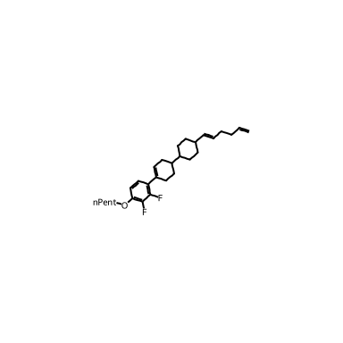 C=CCC/C=C/C1CCC(C2CC=C(c3ccc(OCCCCC)c(F)c3F)CC2)CC1